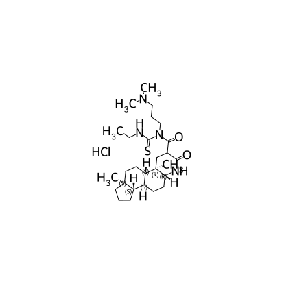 CCNC(=S)N(CCCN(C)C)C(=O)C1C[C@@]2(C)[C@@H](CC[C@H]3[C@@H]4CCC[C@@]4(C)CC[C@@H]32)NC1=O.Cl